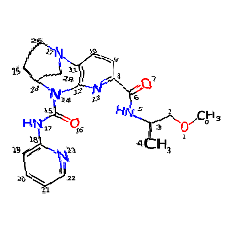 COCC(C)NC(=O)c1ccc2c(n1)N(C(=O)Nc1ccccn1)C1CCN2C1